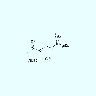 CCCCCCCCCCCC(=O)OC[CH2][Sn]([CH2]CCC)[CH2]CCC.Cl